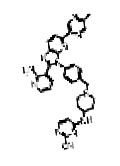 Cc1cnc(-c2ccc3nc(-c4cccnc4N)n(-c4ccc(CN5CCC(Nc6ccnc(C#N)n6)CC5)cc4)c3n2)cn1